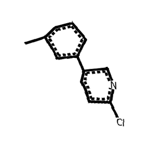 Cc1c[c]cc(-c2ccc(Cl)nc2)c1